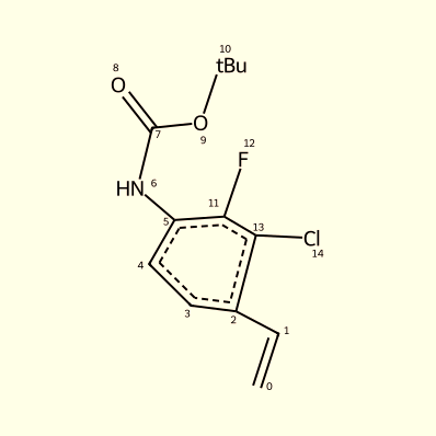 C=Cc1ccc(NC(=O)OC(C)(C)C)c(F)c1Cl